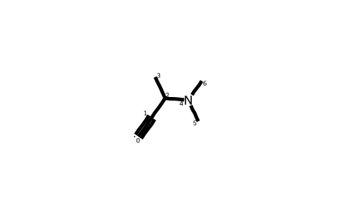 [C]#CC(C)N(C)C